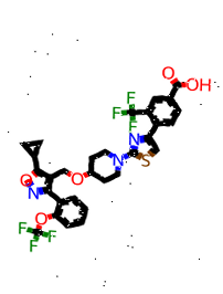 O=C(O)c1ccc(-c2csc(N3CCC(OCc4c(-c5ccccc5OC(F)(F)F)noc4C4CC4)CC3)n2)c(C(F)(F)F)c1